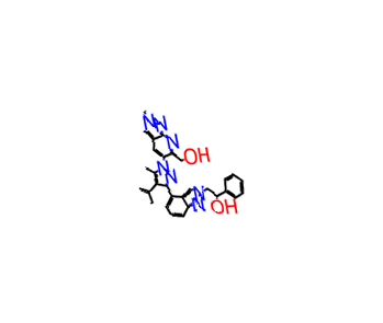 Cc1c(C(C)C)c(-c2cccc3nn(C[C@H](O)c4ccccc4)cc23)nn1-c1cc2cn(C)nc2nc1CO